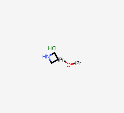 C1CNC1.CC(C)OC(C)C.Cl